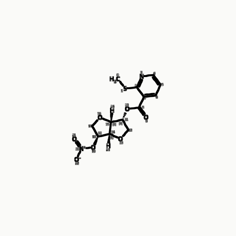 CSc1ncccc1C(=O)O[C@@H]1CO[C@H]2[C@@H]1OC[C@@H]2O[N+](=O)[O-]